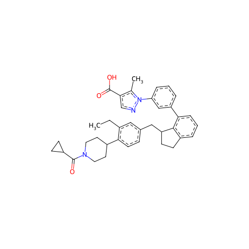 CCc1cc(CC2CCc3cccc(-c4cccc(-n5ncc(C(=O)O)c5C)c4)c32)ccc1C1CCN(C(=O)C2CC2)CC1